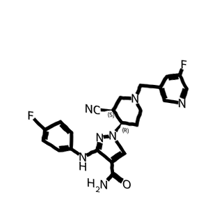 N#C[C@H]1CN(Cc2cncc(F)c2)CC[C@H]1n1cc(C(N)=O)c(Nc2ccc(F)cc2)n1